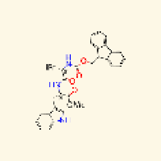 COC(=O)[C@H](Cc1c[nH]c2ccccc12)NC(=O)[C@@H](NC(=O)OCC1c2ccccc2-c2ccccc21)C(C)C